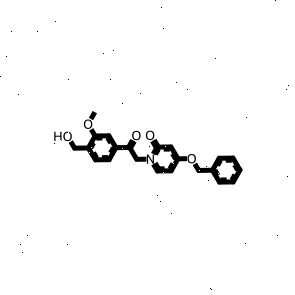 COc1cc(C(=O)Cn2ccc(OCc3ccccc3)cc2=O)ccc1CO